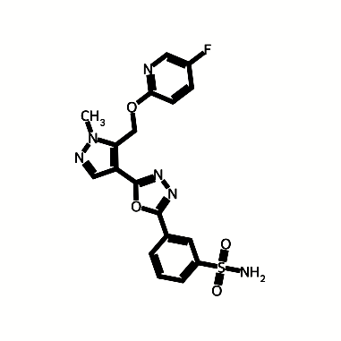 Cn1ncc(-c2nnc(-c3cccc(S(N)(=O)=O)c3)o2)c1COc1ccc(F)cn1